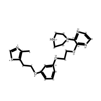 Cc1ncsc1CCOc1cccc(OCCOc2nccnc2N2CCNCC2)c1